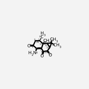 C[C@@H]1CC(=O)C(N)=C2C(=O)C(=O)C3C(C3(C)C)[C@]21C